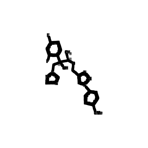 COc1ccc(-n2cc(CO[C@H](C)[C@](O)(Cn3cncn3)c3ccc(F)cc3F)nn2)cc1